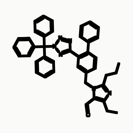 CCCc1nc(CC)c(C=O)n1Cc1ccc(-c2ccccc2)c(-c2nnn(C(c3ccccc3)(c3ccccc3)c3ccccc3)n2)c1